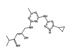 Cc1cc(Nc2cc(C3CC3)[nH]n2)nc(NC/C(O)=C/C(=N)C(C)C)n1